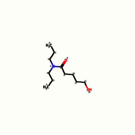 CCCN(CCC)C(=O)CCCCO